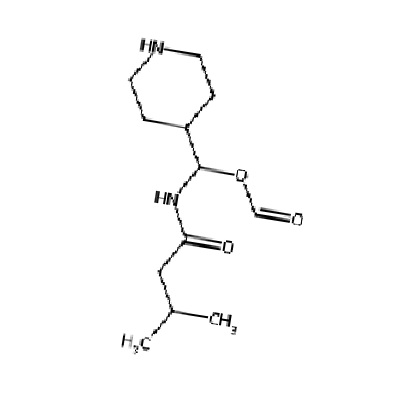 CC(C)CC(=O)NC(OC=O)C1CCNCC1